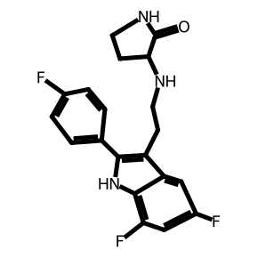 O=C1NCCC1NCCc1c(-c2ccc(F)cc2)[nH]c2c(F)cc(F)cc12